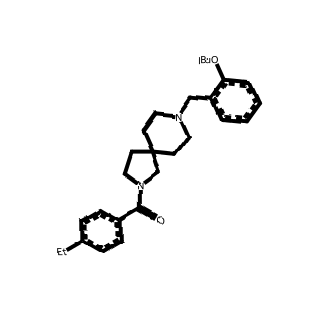 CCc1ccc(C(=O)N2CCC3(CCN(Cc4ccccc4OCC(C)C)CC3)C2)cc1